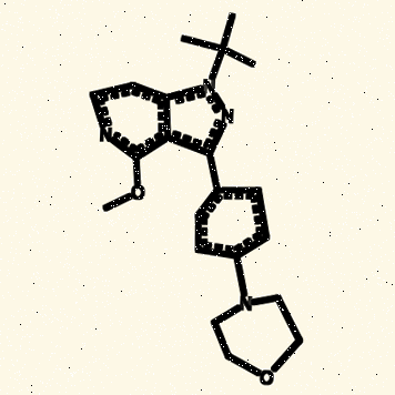 COc1nccc2c1c(-c1ccc(N3CCOCC3)cc1)nn2C(C)(C)C